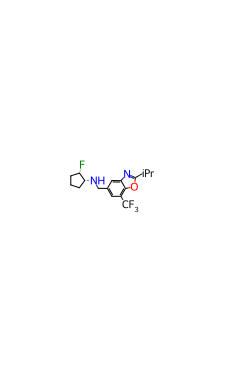 CC(C)c1nc2cc(CN[C@@H]3CCC[C@@H]3F)cc(C(F)(F)F)c2o1